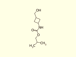 CC(C)COC(=O)NC1CC(CO)C1